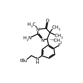 CN1C(=O)C(C)(C)[C@@](C)(c2cc(NCC(C)(C)C)ccc2F)N=C1N